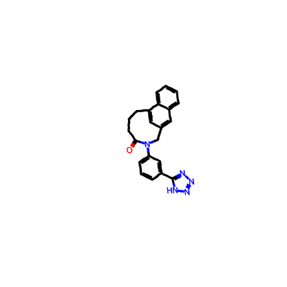 O=C1CCCc2cc(cc3ccccc23)CN1c1cccc(-c2nnn[nH]2)c1